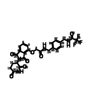 O=C(COc1cccc2c1C(=O)N(C1CCC(=O)NC1=O)C2=O)NCc1ccc(CNC(=O)C(F)(F)F)cc1